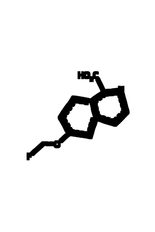 O=C(O)c1nccc2cc(OCF)ccc12